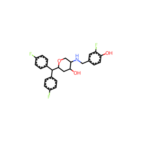 Oc1ccc(CNC2COC(C(c3ccc(F)cc3)c3ccc(F)cc3)CC2O)cc1F